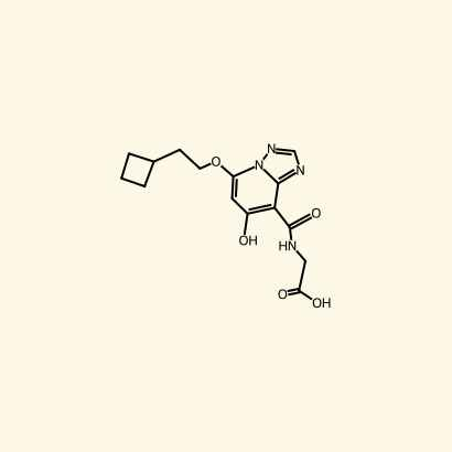 O=C(O)CNC(=O)c1c(O)cc(OCCC2CCC2)n2ncnc12